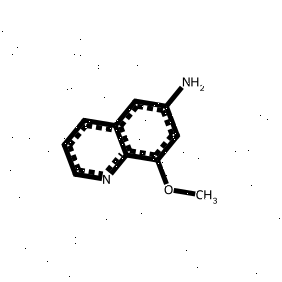 COc1cc(N)cc2cccnc12